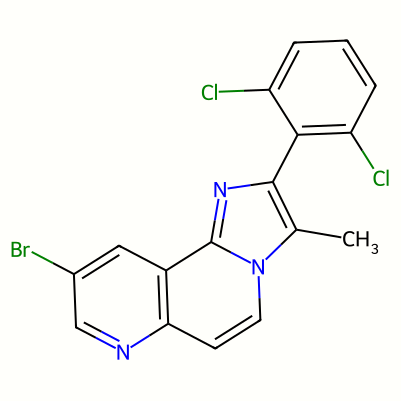 Cc1c(-c2c(Cl)cccc2Cl)nc2c3cc(Br)cnc3ccn12